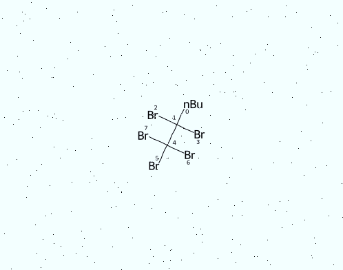 CCCCC(Br)(Br)C(Br)(Br)Br